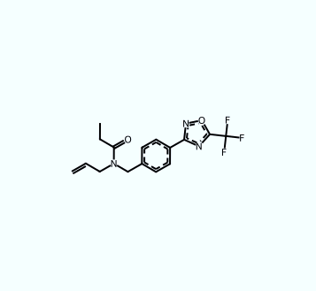 C=CCN(Cc1ccc(-c2noc(C(F)(F)F)n2)cc1)C(=O)CC